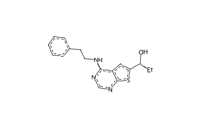 CCC(O)c1cc2c(NCCc3ccccc3)ncnc2s1